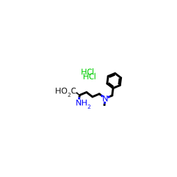 CN(CCC[C@@H](N)C(=O)O)Cc1ccccc1.Cl.Cl